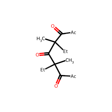 CCC(C)(C(=O)C(C)=O)C(=O)C(C)(CC)C(=O)C(C)=O